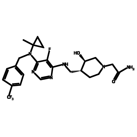 CC1(N(Cc2ccc(C(F)(F)F)cc2)c2ncnc(NC[C@H]3CCN(CC(N)=O)C[C@@H]3O)c2F)CC1